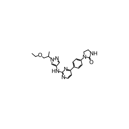 CCOCC(C)n1cc(Nc2nccc(-c3ccc(N4CCNC4=O)cc3)n2)cn1